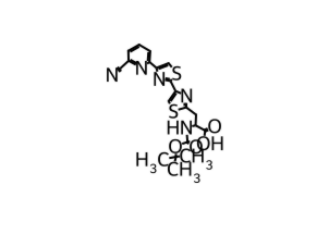 CC(C)(C)OC(=O)NC(Cc1nc(-c2nc(-c3cccc(C#N)n3)cs2)cs1)C(=O)O